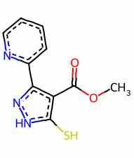 COC(=O)c1c(-c2ccccn2)n[nH]c1S